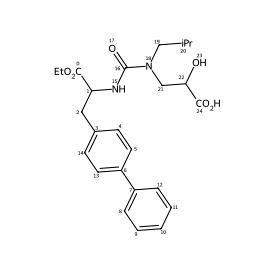 CCOC(=O)C(Cc1ccc(-c2ccccc2)cc1)NC(=O)N(CC(C)C)CC(O)C(=O)O